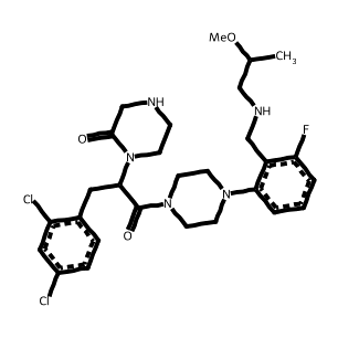 COC(C)CNCc1c(F)cccc1N1CCN(C(=O)C(Cc2ccc(Cl)cc2Cl)N2CCNCC2=O)CC1